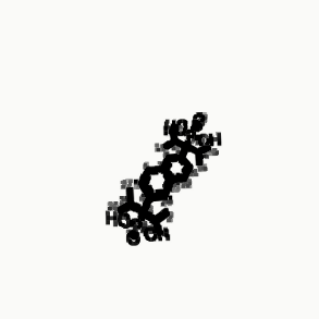 CC(C)C(c1ccc2cc(C(C(C)C)(C(C)C)P(=O)(O)O)ccc2c1)(C(C)C)P(=O)(O)O